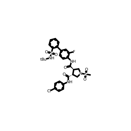 CC(C)(C)NS(=O)(=O)c1ccccc1-c1ccc(NC(=O)[C@H]2CN(S(C)(=O)=O)C[C@@H]2C(=O)Nc2ccc(Cl)cc2)c(F)c1